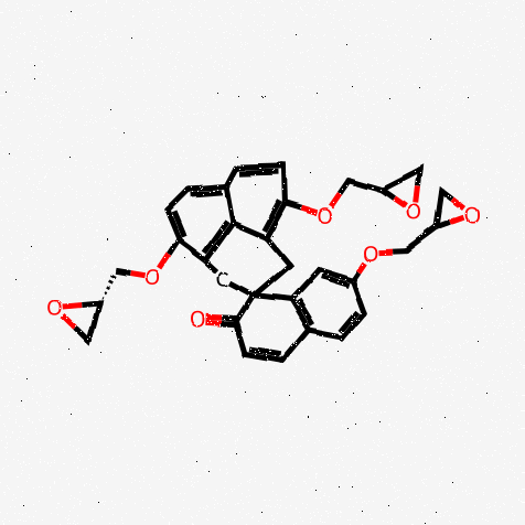 O=C1C=Cc2ccc(OCC3CO3)cc2C12Cc1c(OCC3CO3)ccc3ccc(OC[C@@H]4CO4)c(c13)C2